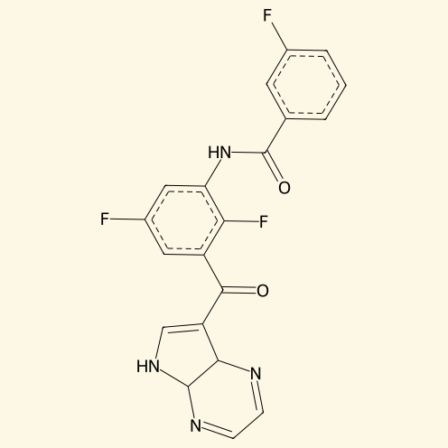 O=C(Nc1cc(F)cc(C(=O)C2=CNC3N=CC=NC23)c1F)c1cccc(F)c1